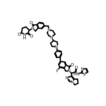 O=C1CCC(N2Cc3cc(CN4CCN(C5CCN(c6ccc(-c7cc(F)c8c(c7)C(=O)N(C(C(=O)Nc7nccs7)c7ncn9c7CCC9)C8)cc6)CC5)CC4)ccc3C2=O)C(=O)N1